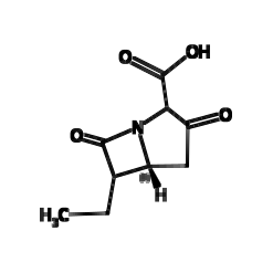 CCC1C(=O)N2C(C(=O)O)C(=O)C[C@H]12